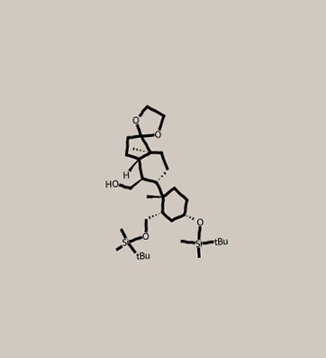 CC(C)(C)[Si](C)(C)OC[C@H]1C[C@@H](O[Si](C)(C)C(C)(C)C)CC[C@@]1(C)[C@H]1CC[C@@]2(C)[C@@H](CCC23OCCO3)[C@@H]1CO